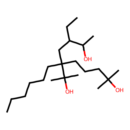 CCCCCCC(CCCC(C)(C)O)(CC(CC)C(C)O)C(C)(C)O